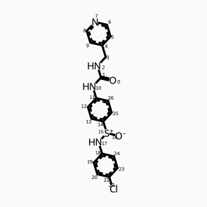 O=C(NCc1ccncc1)Nc1ccc([S+]([O-])Nc2ccc(Cl)cc2)cc1